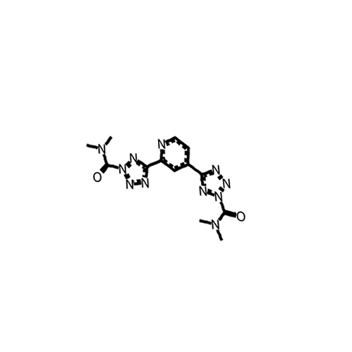 CN(C)C(=O)n1nnc(-c2ccnc(-c3nnn(C(=O)N(C)C)n3)c2)n1